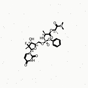 C[C@H](NP(=O)(OC[C@H]1O[C@@H](n2ccc(=O)[nH]c2=O)[C@](C)(F)[C@@H]1O)Oc1ccccc1)C(=O)O[C@@H](C)C(=O)N(C)C